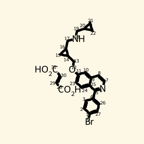 Brc1ccc(-c2nccc3cc(OCC4CC4CNCC4CC4)ccc23)cc1.O=C(O)/C=C/C(=O)O